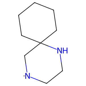 C1CCC2(CC1)C[N]CCN2